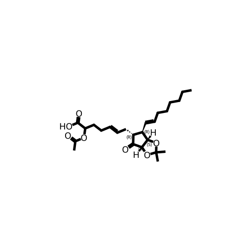 CCCCCCC=C[C@H]1[C@@H]2OC(C)(C)O[C@@H]2C(=O)[C@@H]1CC=CCCC(OC(C)=O)C(=O)O